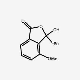 COc1cccc2c1C(O)(C(C)(C)C)OC2=O